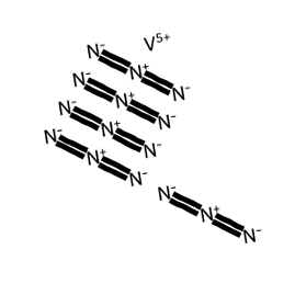 [N-]=[N+]=[N-].[N-]=[N+]=[N-].[N-]=[N+]=[N-].[N-]=[N+]=[N-].[N-]=[N+]=[N-].[V+5]